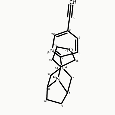 C#Cc1ccc(N2CC3CCC(C2)N3C2CCOC2)nc1